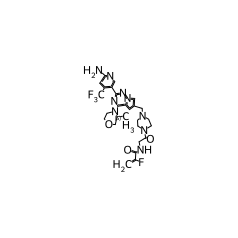 C=C(F)C(=O)NCC(=O)N1CCN(Cc2cc3c(N4CCOC[C@@H]4C)nc(-c4cnc(N)cc4C(F)(F)F)nn3c2)CC1